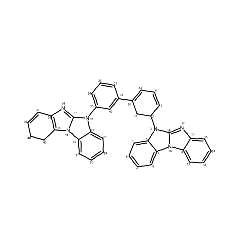 C1=CC(n2c3ccccc3n3c4ccccc4nc23)CC(c2cccc(-n3c4ccccc4n4c5c(nc34)C=CCC5)c2)=C1